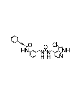 O=C(C#Cc1ccccc1)Nc1cccc(CNC(=O)NCc2ccnc3[nH]cc(Cl)c23)c1